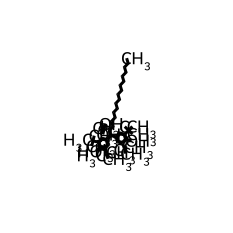 CCCCCCCCCCCCCCCCC(C(c1cc(C(C)(C)C)c(O)c(C(C)(C)C)c1)c1cc(C(C)(C)C)c(O)c(C(C)(C)C)c1)P(=O)(O)O